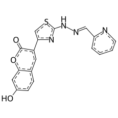 O=c1oc2cc(O)ccc2cc1-c1csc(NN=Cc2ccccn2)n1